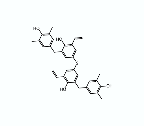 C=Cc1cc(Sc2cc(C=C)c(O)c(Cc3cc(C)c(O)c(C)c3)c2)cc(Cc2cc(C)c(O)c(C)c2)c1O